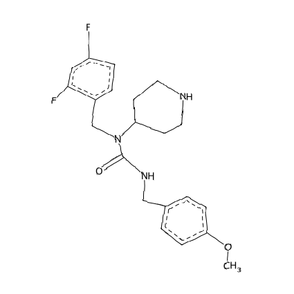 COc1ccc(CNC(=O)N(Cc2ccc(F)cc2F)C2CCNCC2)cc1